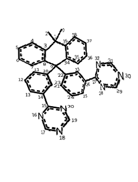 CC1(C)c2ccccc2C(c2cccc(-c3ncncn3)c2)(c2cccc(-c3ncncn3)c2)c2ccccc21